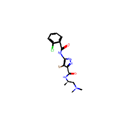 C[C@H](CN(C)C)NC(=O)c1n[nH]c(NC(=O)c2ccccc2Cl)c1Br